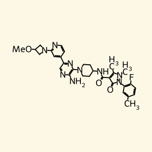 COC1CN(c2cc(-c3cnc(N)c(N4CCC(NC(=O)c5c(C)n(C)n(-c6cc(C)ccc6F)c5=O)CC4)n3)ccn2)C1